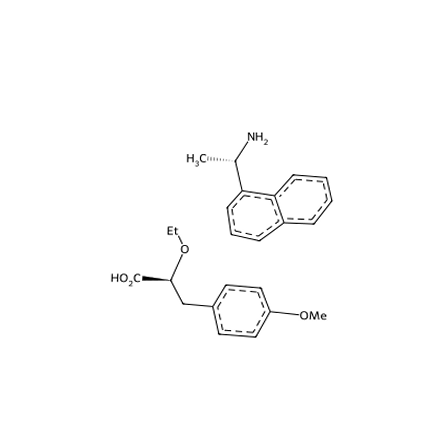 CCO[C@@H](Cc1ccc(OC)cc1)C(=O)O.C[C@H](N)c1cccc2ccccc12